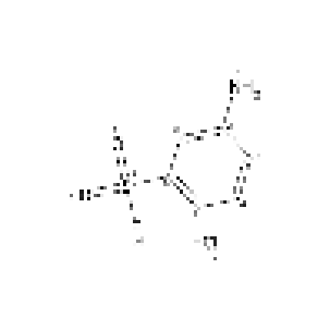 Cl.Nc1cccc(S(=O)(=O)F)c1